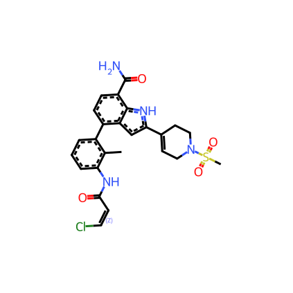 Cc1c(NC(=O)/C=C\Cl)cccc1-c1ccc(C(N)=O)c2[nH]c(C3=CCN(S(C)(=O)=O)CC3)cc12